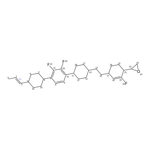 C/C=C/C1CCC(c2ccc(C3CCC(CCC4C=C(F)C(C5CO5)CC4)CC3)c(F)c2F)CC1